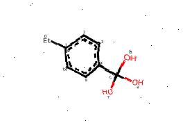 CCc1ccc(C(O)(O)O)cc1